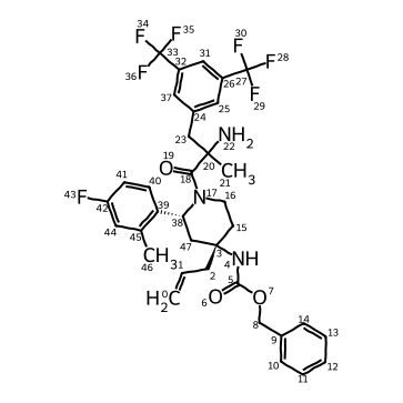 C=CC[C@]1(NC(=O)OCc2ccccc2)CCN(C(=O)C(C)(N)Cc2cc(C(F)(F)F)cc(C(F)(F)F)c2)[C@@H](c2ccc(F)cc2C)C1